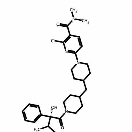 CN(C)C(=O)c1ccc(N2CCC(CC3CCN(C(=O)[C@](O)(c4ccccc4)C(F)C(F)(F)F)CC3)CC2)nc1Cl